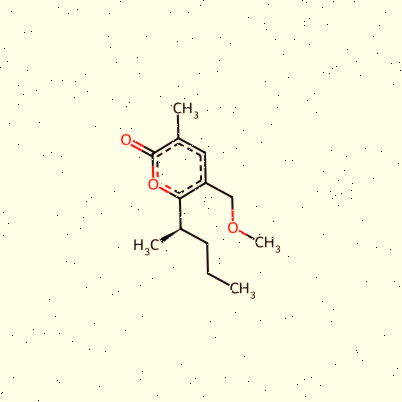 CCC[C@@H](C)c1oc(=O)c(C)cc1COC